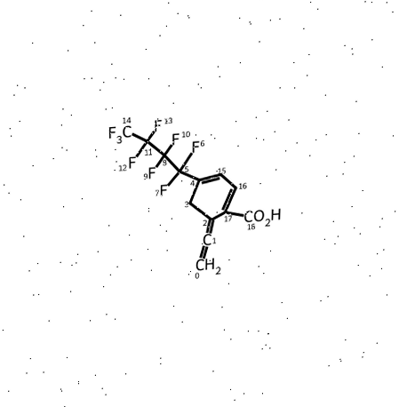 C=C=C1CC(C(F)(F)C(F)(F)C(F)(F)C(F)(F)F)=CC=C1C(=O)O